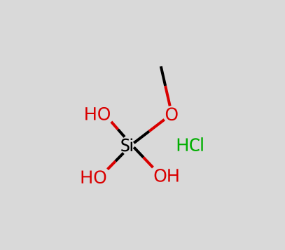 CO[Si](O)(O)O.Cl